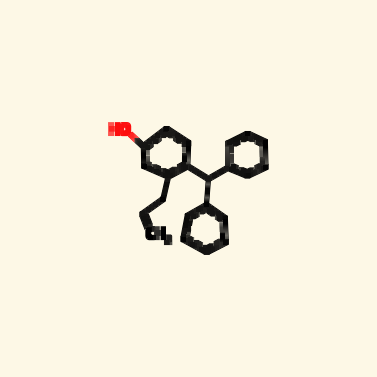 C=CCc1cc(O)ccc1C(c1ccccc1)c1ccccc1